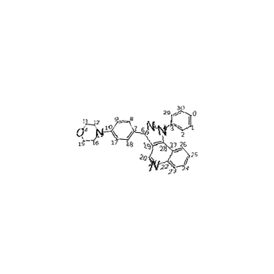 c1ccc(-n2nc(-c3ccc(N4CCOCC4)cc3)c3cnc4ccccc4c32)cc1